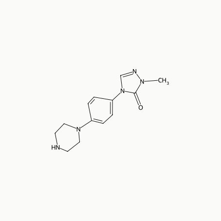 Cn1ncn(-c2ccc(N3CCNCC3)cc2)c1=O